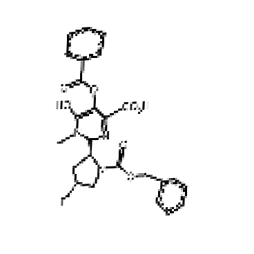 CN1C(O)=C(OC(=O)c2ccccc2)C(C(=O)O)=NC1[C@@H]1C[C@H](F)CN1C(=O)OCc1ccccc1